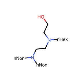 CCCCCCCCCN(CCCCCCCCC)CCN(CCO)CCCCCC